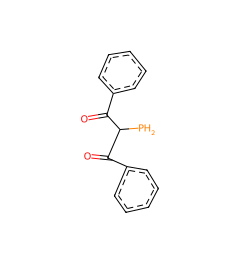 O=C(c1ccccc1)C(P)C(=O)c1ccccc1